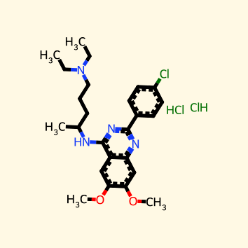 CCN(CC)CCCC(C)Nc1nc(-c2ccc(Cl)cc2)nc2cc(OC)c(OC)cc12.Cl.Cl